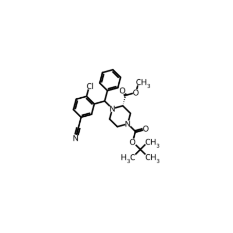 COC(=O)[C@@H]1CN(C(=O)OC(C)(C)C)CCN1C(c1ccccc1)c1cc(C#N)ccc1Cl